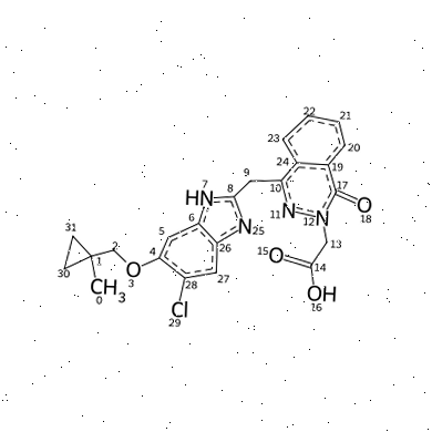 CC1(COc2cc3[nH]c(Cc4nn(CC(=O)O)c(=O)c5ccccc45)nc3cc2Cl)CC1